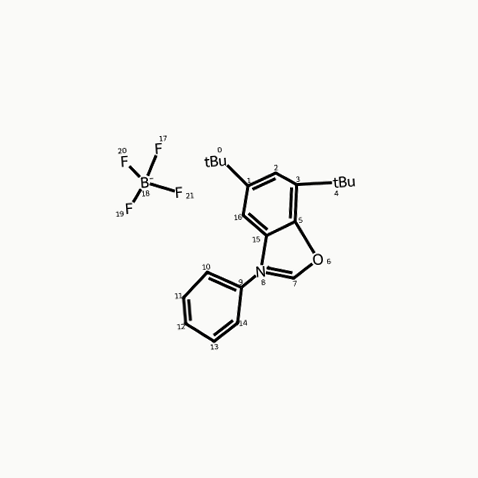 CC(C)(C)c1cc(C(C)(C)C)c2oc[n+](-c3ccccc3)c2c1.F[B-](F)(F)F